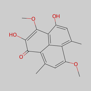 COC1=C(O)C(=O)c2c(C)cc(OC)c3c(C)cc(O)c1c23